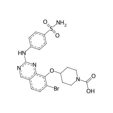 NS(=O)(=O)c1ccc(Nc2ncc3ccc(Br)c(OC4CCN(C(=O)O)CC4)c3n2)cc1